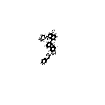 O=C(Cc1cccnc1)Nc1ccc2sc3c(-c4cccc5c(=O)cc(N6CCOCC6)oc45)cccc3c2c1